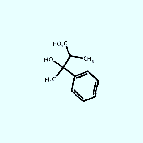 CC(C(=O)O)C(C)(O)c1ccccc1